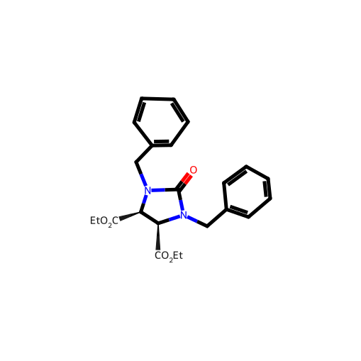 CCOC(=O)[C@@H]1[C@H](C(=O)OCC)N(Cc2ccccc2)C(=O)N1Cc1ccccc1